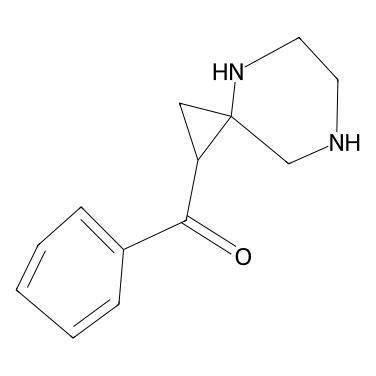 O=C(c1ccccc1)C1CC12CNCCN2